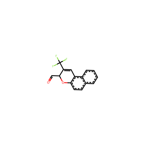 O=CC1Oc2ccc3ccccc3c2C=C1C(F)(F)F